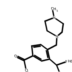 CN1CCN(Cc2ccc(C(=O)Cl)cc2C(F)F)CC1.Cl